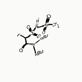 CCCCN(CCCC)C(=O)C(F)S(=O)(=O)NS(=O)(=O)C(F)(F)F